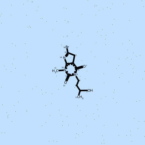 CC(O)CCn1c(=O)c2c(n(C)c1=O)N=C(Br)C2